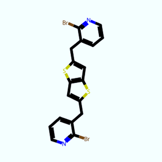 Brc1ncccc1Cc1cc2sc(Cc3cccnc3Br)cc2s1